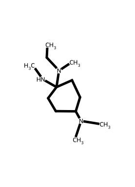 CCN(C)C1(NC)CCC(N(C)C)CC1